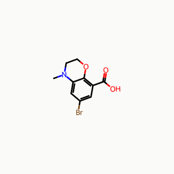 CN1CCOc2c(C(=O)O)cc(Br)cc21